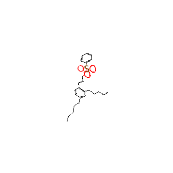 CCCCCc1ccc(CCCOS(=O)(=O)c2ccccc2)c(CCCCC)c1